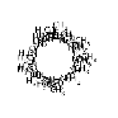 C/C=C/C[C@@H](C)[C@@H](O)[C@H]1C(=O)N[C@@H](CC)C(=O)N(C)[C@H](C)C(=O)N(C)[C@@H](C(C)C)C(=O)N[C@@H](C(C)C)C(=O)N(C)[C@@H](CC(C)C)C(=O)N[C@@H](C)C(=O)N[C@H](C)C(=O)N(C)[C@@H](CC(C)C)C(=O)N(C)[C@@H](CC(C)C)C(=O)N(C)[C@@H](C(C)C)C(=O)N1C